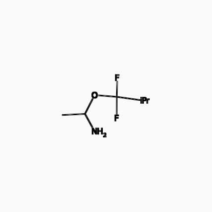 CC(N)OC(F)(F)C(C)C